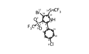 O=S(=O)(c1c(-c2ccc(Cl)cc2)[nH]c(SC(F)(F)F)c1Br)C(F)(F)F